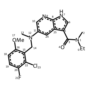 CCN(C)C(=O)c1c[nH]c2ncc(N(C)Cc3c(OC)ccc(F)c3Cl)cc12